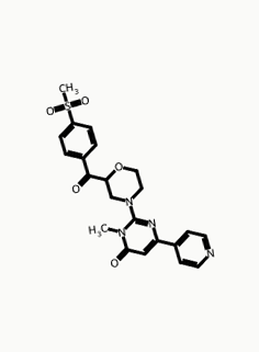 Cn1c(N2CCOC(C(=O)c3ccc(S(C)(=O)=O)cc3)C2)nc(-c2ccncc2)cc1=O